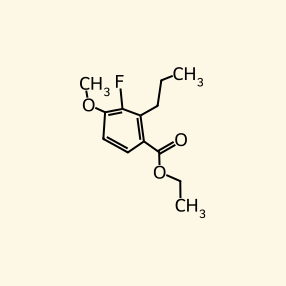 CCCc1c(C(=O)OCC)ccc(OC)c1F